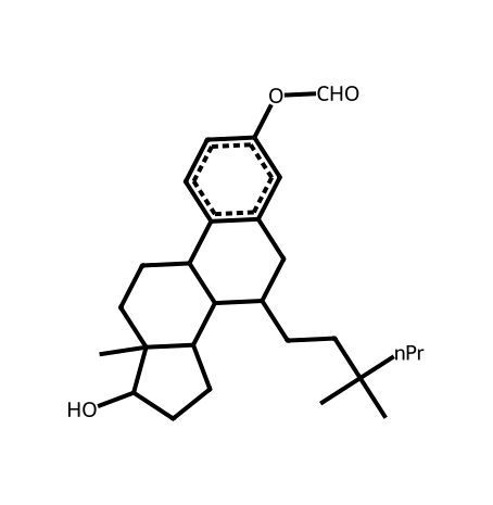 CCCC(C)(C)CCC1Cc2cc(OC=O)ccc2C2CCC3(C)C(O)CCC3C12